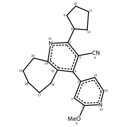 COc1cc(-c2c(C#N)c(C3CCCC3)nc3c2CCCCC3)ccn1